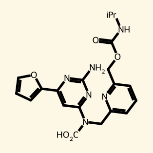 CC(C)NC(=O)OCc1cccc(CN(C(=O)O)c2cc(-c3ccco3)nc(N)n2)n1